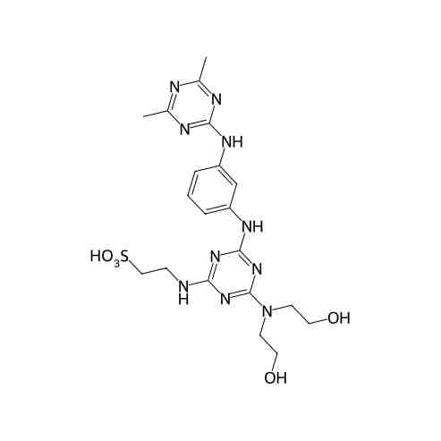 Cc1nc(C)nc(Nc2cccc(Nc3nc(NCCS(=O)(=O)O)nc(N(CCO)CCO)n3)c2)n1